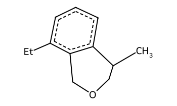 CCc1cccc2c1COCC2C